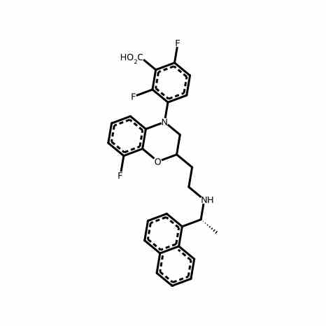 C[C@@H](NCCC1CN(c2ccc(F)c(C(=O)O)c2F)c2cccc(F)c2O1)c1cccc2ccccc12